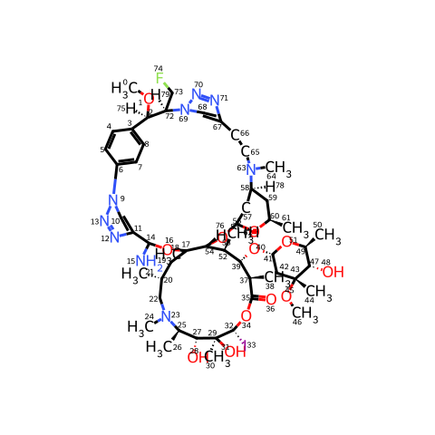 CO[C@@H]1c2ccc(cc2)-n2cc(nn2)C(N)O[C@]2(C)C[C@@H](C)CN(C)[C@H](C)[C@@H](O)[C@](C)(O)[C@@H](I)OC(=O)[C@H](C)[C@@H](O[C@H]3C[C@@](C)(OC)[C@@H](O)[C@H](C)O3)[C@H](C)[C@H]2O[C@H]2C[C@H](C[C@@H](C)O2)N(C)CCc2cn(nn2)[C@@H]1CF